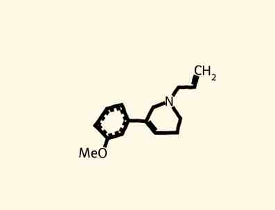 C=CCN1CCC=C(c2cccc(OC)c2)C1